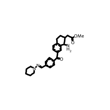 COC(=O)CC1CCc2ccc(C(=O)c3ccc(C=NN4CCCCC4)cc3)cc2C1N